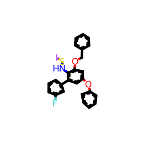 Fc1cccc(-c2cc(Oc3ccccc3)cc(OCc3ccccc3)c2NSI)c1